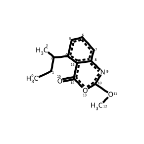 CCC(C)c1cccc2nc(OC)oc(=O)c12